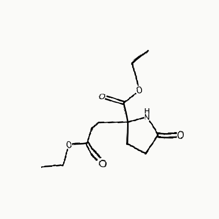 CCOC(=O)CC1(C(=O)OCC)CCC(=O)N1